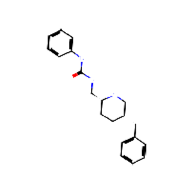 O=C(NC[C@@H]1CC[C@@H](Cc2ccccc2)CN1)Nc1ccccc1